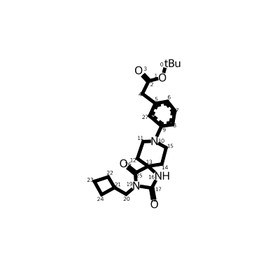 CC(C)(C)OC(=O)Cc1cccc(N2CCC3(CC2)NC(=O)N(CC2CCC2)C3=O)c1